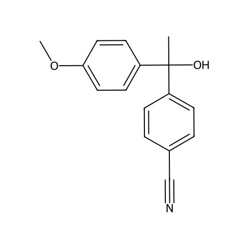 COc1ccc(C(C)(O)c2ccc(C#N)cc2)cc1